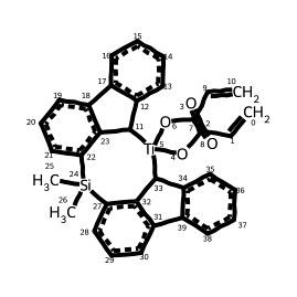 C=CC(=O)[O][Ti]1([O]C(=O)C=C)[CH]2c3ccccc3-c3cccc(c32)[Si](C)(C)c2cccc3c2[CH]1c1ccccc1-3